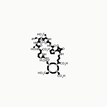 CC(C)C[C@H](NC(=O)[C@H](CC(=O)O)NC(=O)CNC(=O)[C@@H]1CCCN1c1c(NCCCC(C(=O)O)N2CCN(CC=O)CCN(CC(=O)O)CCN(CC(=O)O)CC2)c(=O)c1=O)C(=O)N[C@@H](CO)C(=O)N[C@@H](CCCNC(=N)N)C(=O)O